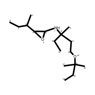 CCC(C)C1OC1NC(C)(CC)CCOC(C)(C)CC